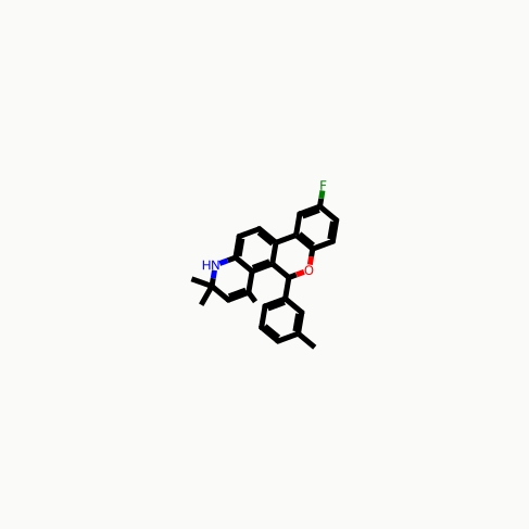 CC1=CC(C)(C)Nc2ccc3c(c21)C(c1cccc(C)c1)Oc1ccc(F)cc1-3